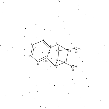 OC1C2CCC(c3ccccc32)C1O